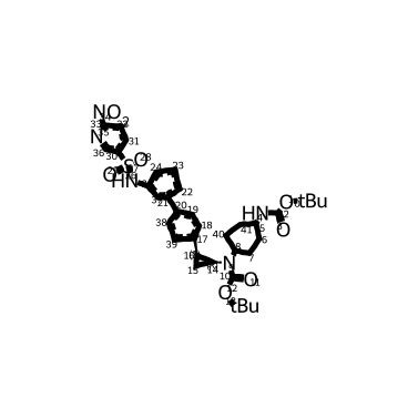 CC(C)(C)OC(=O)NC1CCC(N(C(=O)OC(C)(C)C)[C@@H]2C[C@H]2c2ccc(-c3cccc(NS(=O)(=O)c4ccc([N+](=O)[O-])nc4)c3)cc2)CC1